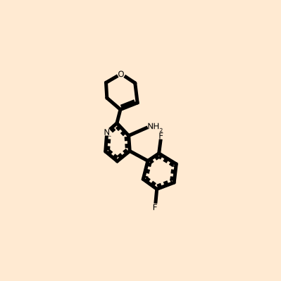 Nc1c(-c2cc(F)ccc2F)ccnc1C1=CCOCC1